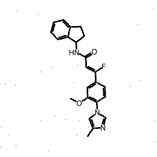 COc1cc(/C(F)=C/C(=O)NC2CCc3ccccc32)ccc1-n1cnc(C)c1